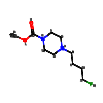 CC(C)(C)OC(=O)N1CCN(CCCCF)CC1